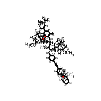 COC(=O)N[C@H](C(=O)N[C@@H](Cc1ccc(C#Cc2ccc(N3CC4CCC(C3)N4C(=O)N(C)C)nc2)cc1)[C@@H](O)CN(Cc1c(F)cc(/C(C=N)=C/NC(F)F)cc1F)NC(=O)[C@@H](NC(=O)OC)C(C)(C)C(F)(F)F)C(C)(C)C(F)(F)F